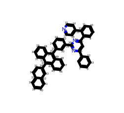 c1ccc(-c2cc(-c3ccccc3-c3ccncc3)nc(-c3cccc(-c4c5ccccc5c(-c5ccc6ccccc6c5)c5ccccc45)c3)n2)cc1